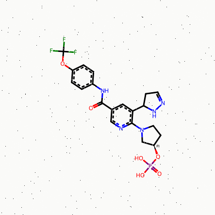 O=C(Nc1ccc(OC(F)(F)F)cc1)c1cnc(N2CC[C@@H](OP(=O)(O)O)C2)c(C2CC=NN2)c1